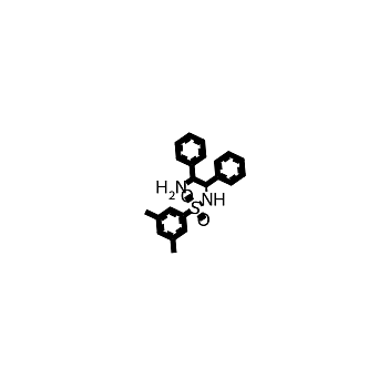 Cc1cc(C)cc(S(=O)(=O)N[C@@H](c2ccccc2)C(N)c2ccccc2)c1